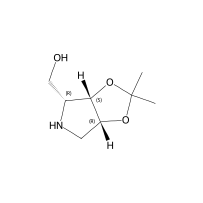 CC1(C)O[C@H]2[C@@H](CO)NC[C@H]2O1